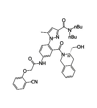 CCCCN(CCCC)C(=O)c1cc(C)n(-c2ccc(NC(=O)COc3ccccc3C#N)cc2C(=O)N2Cc3ccccc3C[C@H]2CO)n1